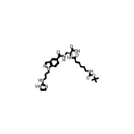 CC(C)(C)OC(=O)NCCCCCC(=O)N[C@@H](CNC(=O)c1ccc2c(cnn2CCCNc2ncc[nH]2)c1)C(=O)O